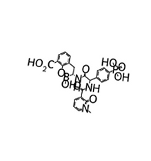 Cn1cccc(C(=O)NC(C(=O)N[C@H]2Cc3cccc(C(=O)O)c3OB2O)c2ccc(P(=O)(O)O)cc2)c1=O